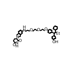 CC/C(=C(\c1ccc(O)cc1)c1ccc(OCCCOCCCOCCCNc2ccc3c(c2)CN(C2CCC(=O)NC2=O)C3)cc1)c1ccccc1